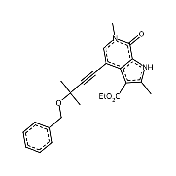 CCOC(=O)c1c(C)[nH]c2c(=O)n(C)cc(C#CC(C)(C)OCc3ccccc3)c12